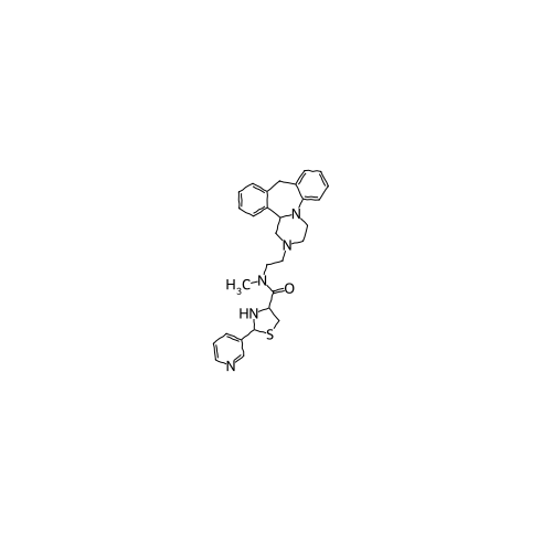 CN(CCN1CCN2c3ccccc3Cc3ccccc3C2C1)C(=O)C1CSC(c2cccnc2)N1